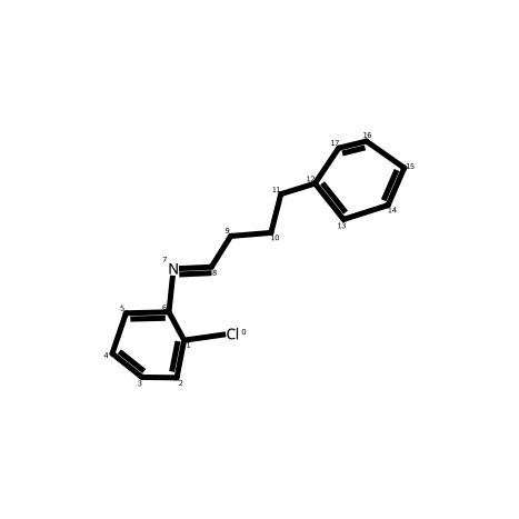 Clc1ccccc1N=CCCCc1ccccc1